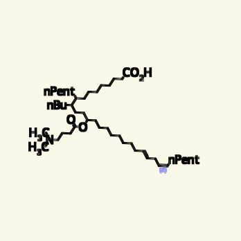 CCCCC/C=C\CC=CCCCCCCCCC(CCC(CCCC)C(CCCCC)CCCCCCCC(=O)O)OC(=O)CCCN(C)C